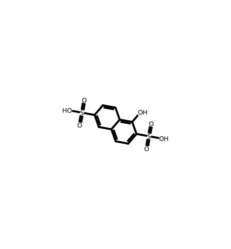 O=S(=O)(O)c1ccc2c(O)c(S(=O)(=O)O)ccc2c1